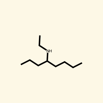 CCCCC(CCC)NCC